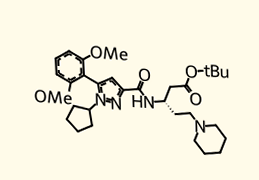 COc1cccc(OC)c1-c1cc(C(=O)N[C@@H](CCN2CCCCC2)CC(=O)OC(C)(C)C)nn1C1CCCC1